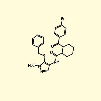 Cn1ncc(NC(=O)C2CCCCC2C(=O)c2ccc(Br)cc2)c1SCc1ccccc1